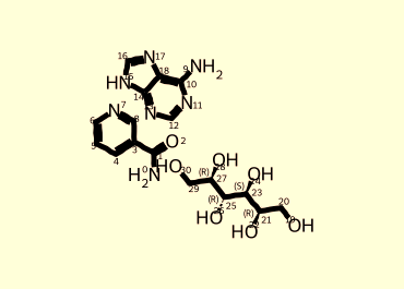 NC(=O)c1cccnc1.Nc1ncnc2[nH]cnc12.OC[C@@H](O)[C@H](O)[C@H](O)[C@H](O)CO